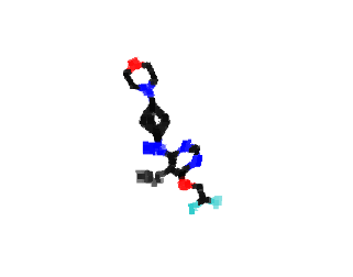 O=C(O)c1c(NC23CC(N4CCOCC4)(C2)C3)ncnc1OCC(F)F